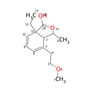 CCC1C(CCOC)=CC=CC1(CC)C(=O)O